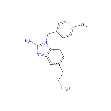 Cc1ccc(Cn2c(N)nc3cc(CCC(=O)O)ccc32)cc1